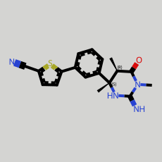 C[C@H]1C(=O)N(C)C(=N)N[C@]1(C)c1cccc(-c2ccc(C#N)s2)c1